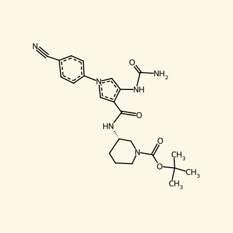 CC(C)(C)OC(=O)N1CCC[C@H](NC(=O)c2cn(-c3ccc(C#N)cc3)cc2NC(N)=O)C1